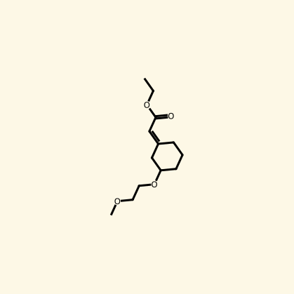 CCOC(=O)/C=C1\CCCC(OCCOC)C1